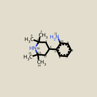 CC1(C)CC(c2ccccc2N)CC(C)(C)N1